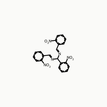 O=[N+]([O-])c1ccccc1C=NC(N=Cc1ccccc1[N+](=O)[O-])c1ccccc1[N+](=O)[O-]